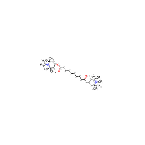 CN1C(C)(C)CC(CC(=O)CCCCCCCCC(=O)OC2CC(C)(C)N(C)C(C)(C)C2)CC1(C)C